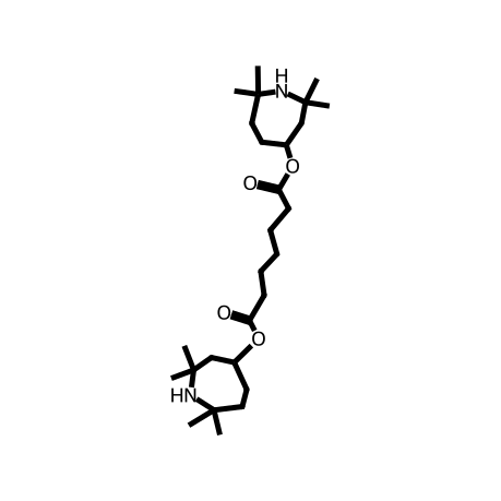 CC1(C)CCC(OC(=O)CCCCCC(=O)OC2CCC(C)(C)NC(C)(C)C2)CC(C)(C)N1